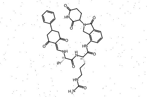 CC(C)[C@H](NC=C1C(=O)CC(c2ccccc2)CC1=O)C(=O)N[C@@H](CCCNC(N)=O)C(=O)Nc1cccc2c1CN(C1CCC(=O)NC1=O)C2=O